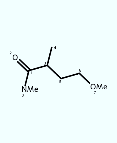 CNC(=O)C(C)CCOC